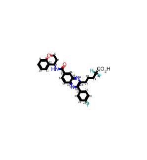 O=C(N[C@@H]1CCOc2ccccc21)c1ccc2nc(-c3ccc(F)cc3)c(CCCC(F)(F)C(=O)O)nc2c1